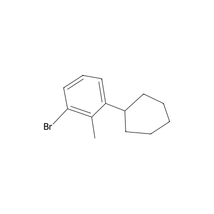 Cc1c(Br)cccc1C1CCCCC1